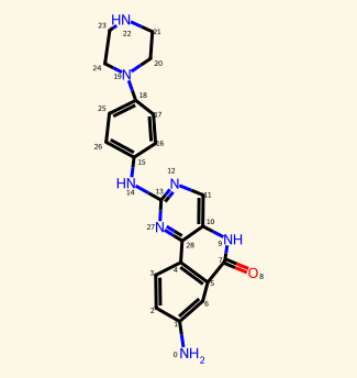 Nc1ccc2c(c1)c(=O)[nH]c1cnc(Nc3ccc(N4CCNCC4)cc3)nc12